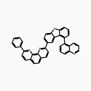 c1ccc(-c2ccc3ccc4ccc(-c5ccc6sc7cccc(-c8cccc9ncccc89)c7c6c5)nc4c3n2)cc1